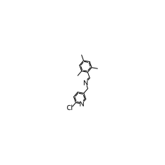 Cc1cc(C)c(/C=N/Cc2ccc(Cl)nc2)c(C)c1